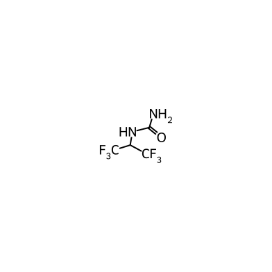 NC(=O)NC(C(F)(F)F)C(F)(F)F